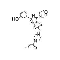 CC=CC(=O)N1CCN(Cc2nc3nc(-c4cccc(O)c4)nc(N4CCOCC4)c3s2)CC1